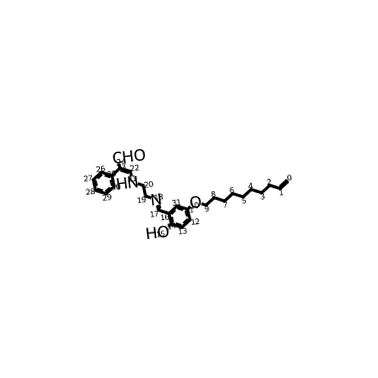 C=CCCCCCCCCOc1ccc(O)c(C=NCCNC=C(C=O)c2ccccc2)c1